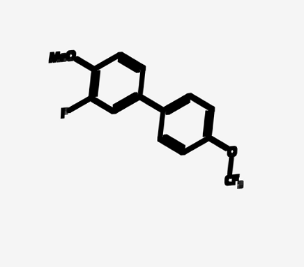 COc1ccc(-c2ccc(OC(F)(F)F)cc2)cc1F